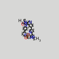 Cn1cc(-c2ccc(-c3ccc4ncc5c(c4c3)n(-c3ccc(C4CCCN(S(C)(=O)=O)C4)cc3)c(=O)n5C)cn2)cn1